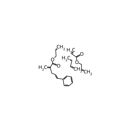 C=CC=C.C=CCOC(=O)C(=C)CC=Cc1ccccc1.C=CCOC(=O)C=C